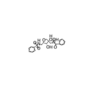 O=C(c1ccccc1)N(O)C[C@]1(O)CO[C@H](CNS(=O)(=O)c2ccccc2)[C@H]1O